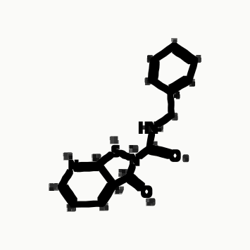 O=C(NCc1ccccc1)n1sc2ncccc2c1=O